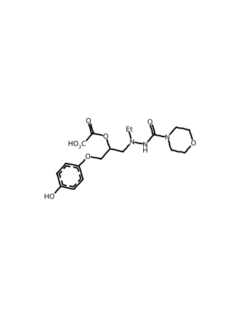 CCN(CC(COc1ccc(O)cc1)OC(=O)C(=O)O)NC(=O)N1CCOCC1